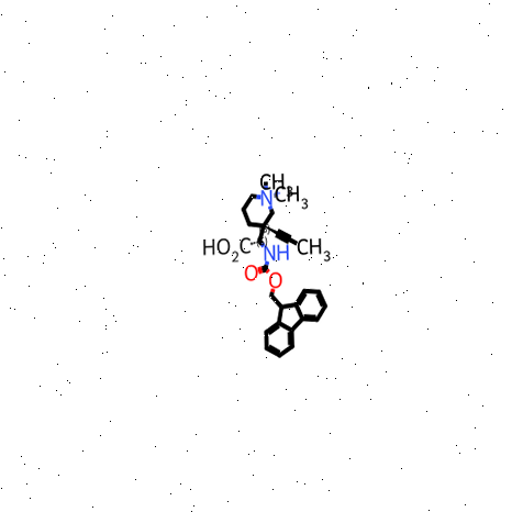 CC#C[C@@]1([C@H](NC(=O)OCC2c3ccccc3-c3ccccc32)C(=O)O)CCC[N+](C)(C)C1